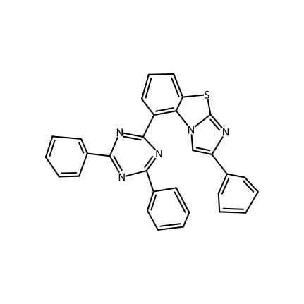 c1ccc(-c2cn3c(n2)sc2cccc(-c4nc(-c5ccccc5)nc(-c5ccccc5)n4)c23)cc1